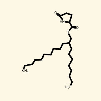 CCCCCCCCCCC(CCCCCCCC)COC(=O)C1CCC(=O)N1